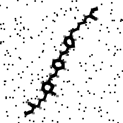 C=CC(=O)OCCCOc1ccc(/N=N/c2ccc(/N=N/c3ccc(CCOC(=O)C=C)c(F)c3)cc2)cc1